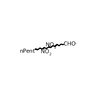 CCCCC/C=C/C/C(=C/C/C(=C/C/C=C/CCC[C]=O)[N+](=O)[O-])[N+](=O)[O-]